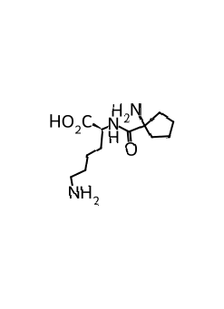 NCCCC[C@H](NC(=O)C1(N)CCCC1)C(=O)O